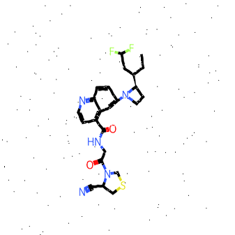 CCC(CC(F)F)[C@H]1CCN1c1ccc2nccc(C(=O)NCC(=O)N3CSCC3C#N)c2c1